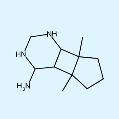 CC12CCCC1(C)C1C(N)NCNC12